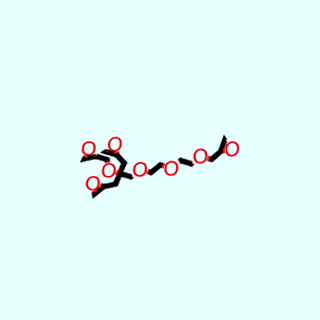 C(COCC1CO1)OCCOCC(CC1CO1)(CC1CO1)OCC1CO1